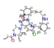 C=CC(=O)N1CCN(c2nc(=O)n3c4nc(c(Cl)cc24)-c2c(F)cccc2NCCSc2cccc(C(C)C)c2-3)[C@@H](C)[C@H]1C